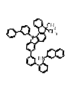 CC1(C)c2ccccc2-c2c1ccc1c3cc(-c4cccc(-c5ccccc5Nc5ccc6ccccc6c5)c4)ccc3n(-c3cccc(-c4ccccc4)c3)c21